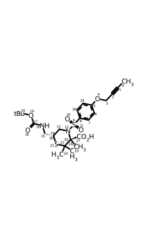 CC#CCOc1ccc(S(=O)(=O)N2C[C@@H](CNC(=O)OC(C)(C)C)SC(C)(C)[C@]2(C)C(=O)O)cc1